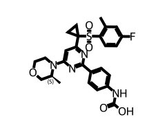 Cc1cc(F)ccc1S(=O)(=O)C1(c2cc(N3CCOC[C@@H]3C)nc(-c3ccc(NC(=O)O)cc3)n2)CC1